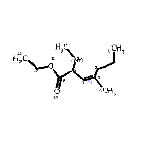 CCC/C(C)=C\C(NC)C(=O)OCC